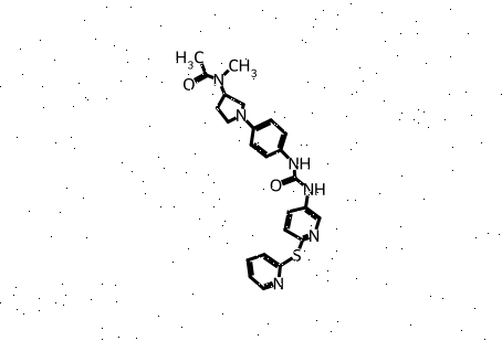 CC(=O)N(C)C1CCN(c2ccc(NC(=O)Nc3ccc(Sc4ccccn4)nc3)cc2)C1